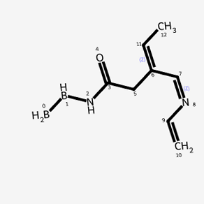 BBNC(=O)CC(/C=N\C=C)=C/C